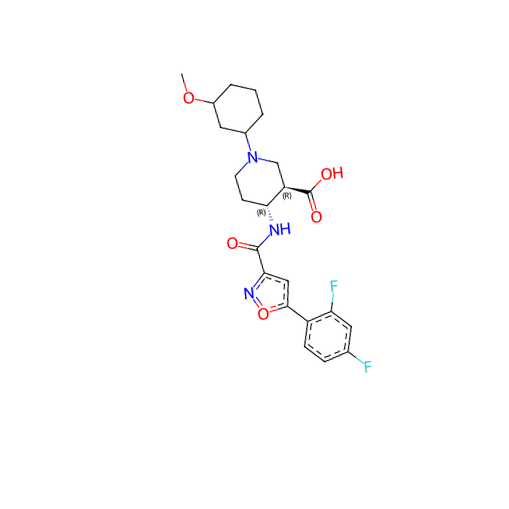 COC1CCCC(N2CC[C@@H](NC(=O)c3cc(-c4ccc(F)cc4F)on3)[C@H](C(=O)O)C2)C1